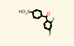 O=C(c1ccc(S(=O)(=O)O)cc1)c1ccc(F)cc1F